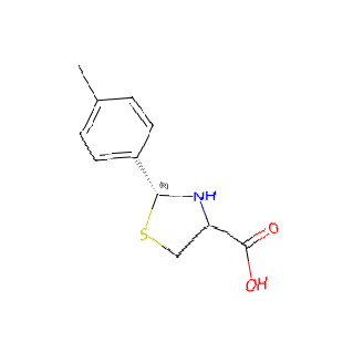 Cc1ccc([C@@H]2NC(C(=O)O)CS2)cc1